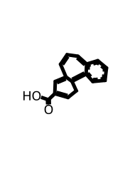 O=C(O)C1=CCC2=c3ccccc3=CC=CC2=C1